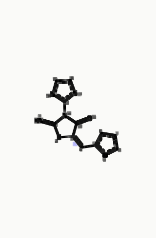 N=C1S/C(=C/c2ccco2)C(=O)N1c1nccs1